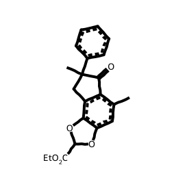 CCOC(=O)C1Oc2cc(C)c3c(c2O1)CC(C)(c1ccccc1)C3=O